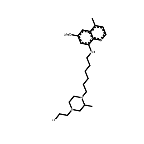 COc1cc(NCCCCCCN2CCN(CCC(C)C)CC2C)c2nccc(C)c2c1